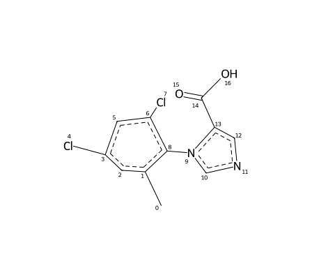 Cc1cc(Cl)cc(Cl)c1-n1cncc1C(=O)O